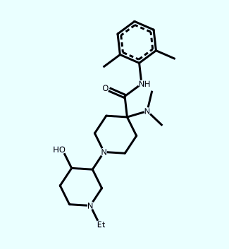 CCN1CCC(O)C(N2CCC(C(=O)Nc3c(C)cccc3C)(N(C)C)CC2)C1